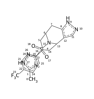 Cc1nc(C2CC3Cc4[nH]ncc4C(C2)N3S(=O)(=O)c2ccc(C(F)(F)F)cc2)n[nH]1